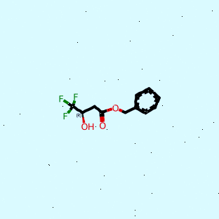 O=C(C[C@@H](O)C(F)(F)F)OCc1ccccc1